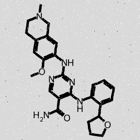 COc1cc2c(cc1Nc1ncc(C(N)=O)c(Nc3ccccc3C3CCCO3)n1)CN(C)CC2